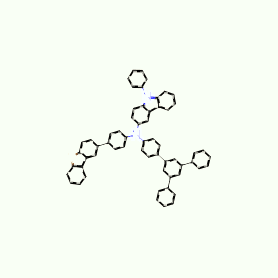 c1ccc(-c2cc(-c3ccccc3)cc(-c3ccc(N(c4ccc(-c5ccc6sc7ccccc7c6c5)cc4)c4ccc5c(c4)c4ccccc4n5-c4ccccc4)cc3)c2)cc1